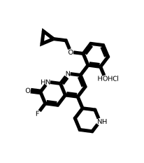 Cl.O=c1[nH]c2nc(-c3c(O)cccc3OCC3CC3)cc(C3CCCNC3)c2cc1F